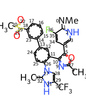 CNC1NC=C(c2oc(C)nc2-c2cc(-c3cccc(S(C)(=O)=O)c3)ccc2N2C=C(C(F)(F)F)NC2C)C=C1F